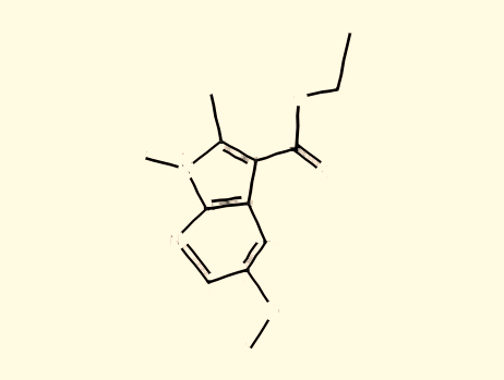 CCOC(=O)c1c(C)n(C)c2ncc(OC)cc12